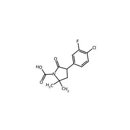 CC1(C)CC(c2ccc(Cl)c(F)c2)C(=O)N1C(=O)O